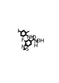 Cc1cc(I)ccc1Nc1c(C(=O)NO)cc2scnc2c1F